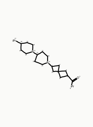 CC(C)C(=O)C1CC2(C1)CC(N1CCC(N3CCC(C(C)C)CC3)CC1)C2